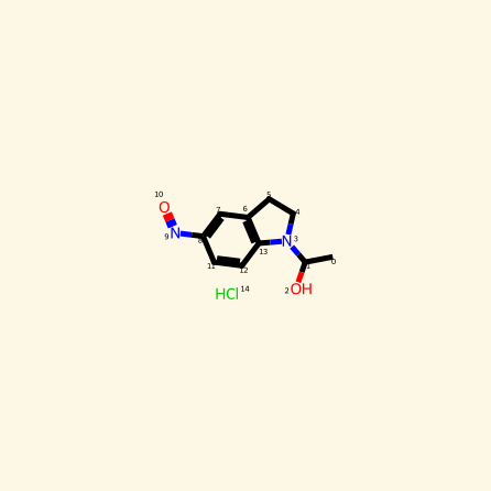 CC(O)N1CCc2cc(N=O)ccc21.Cl